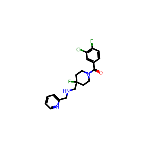 O=C(c1ccc(F)c(Cl)c1)N1CCC(F)(CNCc2ccccn2)CC1